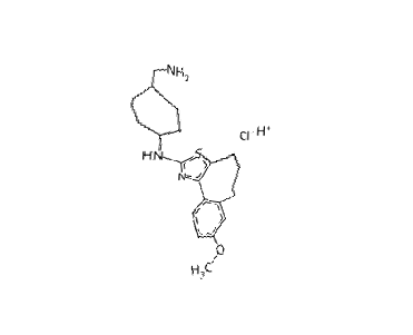 COc1ccc2c(c1)CCCc1sc(NC3CCC(CN)CC3)nc1-2.[Cl-].[H+]